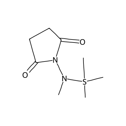 CN(N1C(=O)CCC1=O)S(C)(C)C